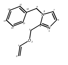 C=COCc1nccn1Cc1ccccc1